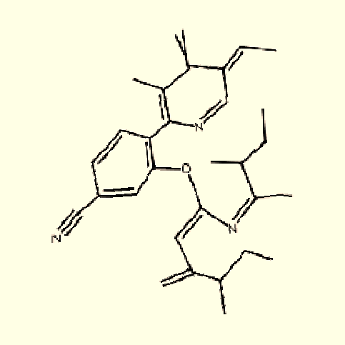 C=C(/C=C(\N=C(\C)C(C)CC)Oc1cc(C#N)ccc1C(/N=C\C(=C/C)CC)=C(\C)CC)C(C)CC